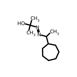 CC(/N=N/C(C)(C)O)C1CCCCCC1